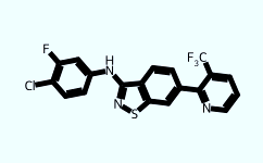 Fc1cc(Nc2nsc3cc(-c4ncccc4C(F)(F)F)ccc23)ccc1Cl